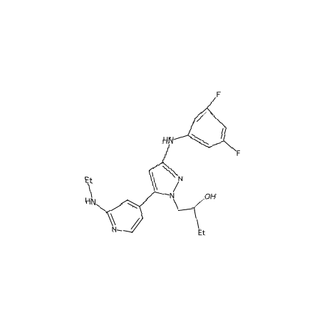 CCNc1cc(-c2cc(Nc3cc(F)cc(F)c3)nn2CC(O)CC)ccn1